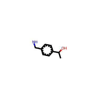 CC(O)c1ccc(C[NH])cc1